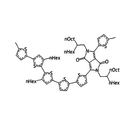 CCCCCCCCC(CCCCCC)CN1C(=O)C2=C(c3ccc(-c4ccc(-c5cc(CCCCCC)c(-c6sc(-c7ccc(C)s7)cc6CCCCCC)s5)s4)s3)N(CC(CCCCCC)CCCCCCCC)C(=O)C2=C1c1ccc(C)s1